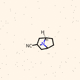 CN1C2CC[C@@H]1CC(C#N)C2